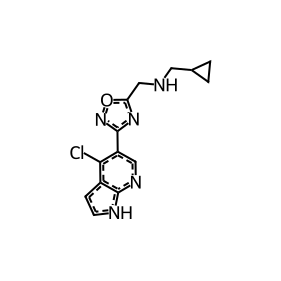 Clc1c(-c2noc(CNCC3CC3)n2)cnc2[nH]ccc12